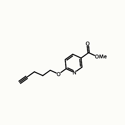 C#CCCCOc1ccc(C(=O)OC)cn1